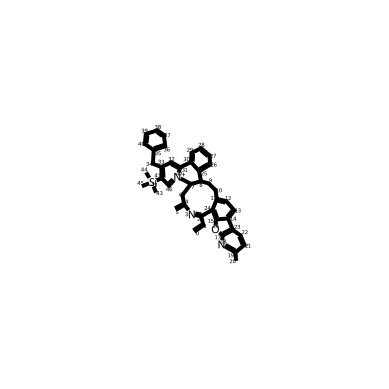 C=C/C1=N/C(=C)CC2C(CCc3ccc4c(oc5nc(C)ccc54)c31)c1ccccc1-c1cc(Cc3ccccc3)c([Si](C)(C)C)c[n+]12